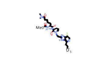 COC(=O)NC(CCC=CC(=O)N(C)C)C(=O)Nc1cccn(Cc2nc3c(F)cnc(CCC(F)(F)F)c3[nH]2)c1=O